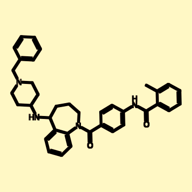 Cc1ccccc1C(=O)Nc1ccc(C(=O)N2CCCC(NC3CCN(Cc4ccccc4)CC3)c3ccccc32)cc1